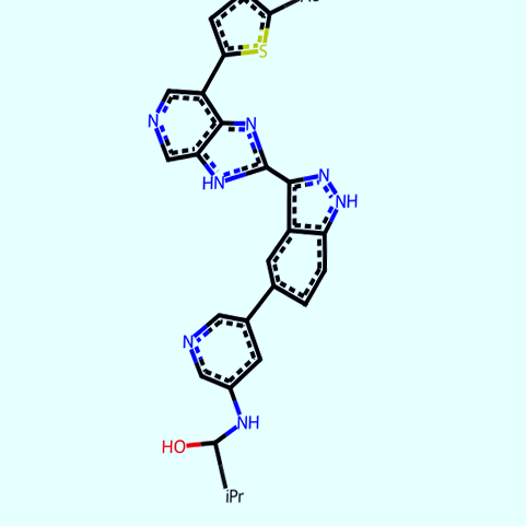 CC(=O)c1ccc(-c2cncc3[nH]c(-c4n[nH]c5ccc(-c6cncc(NC(O)C(C)C)c6)cc45)nc23)s1